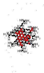 CC(=O)N[C@@H](CC(C)C)C(=O)N[C@@H](Cc1c[nH]c2ccccc12)C(=O)N[C@@H](CCCNC(=N)N)C(=O)N[C@@H](CO)C(=O)N[C@H](CCCNC(=N)N)C(=O)N[C@H](CCCNC(=N)N)C(=O)N[C@H](CCCNC(=N)N)C(=O)N[C@H](CCCNC(=N)N)C(=O)N[C@H](CCCNC(=N)N)C(=O)N[C@H](CCCNC(=N)N)C(=O)N[C@H](CCCNC(=N)N)C(=O)N[C@H](CCCNC(=N)N)C(=O)N[C@H](CCCNC(=N)N)C(=O)N[C@H](CS)C(N)=O